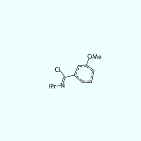 COc1cccc(/C(Cl)=N/C(C)C)c1